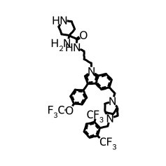 NC1(C(=O)NCCCn2cc(-c3ccc(OC(F)(F)F)cc3)c3cc(CN4CC5CC4CN5Cc4c(C(F)(F)F)cccc4C(F)(F)F)ccc32)CCNCC1